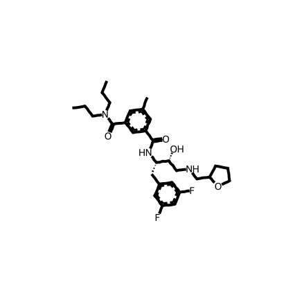 CCCN(CCC)C(=O)c1cc(C)cc(C(=O)N[C@@H](Cc2cc(F)cc(F)c2)[C@H](O)CNCC2CCCO2)c1